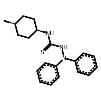 C[C@H]1CC[C@@H](NC(=S)NN(c2ccccc2)c2ccccc2)CC1